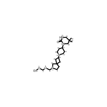 CCOCOCN1CCC2(CC(N3CCC(N4CC(C)(C)CNC4=O)CC3)C2)C1